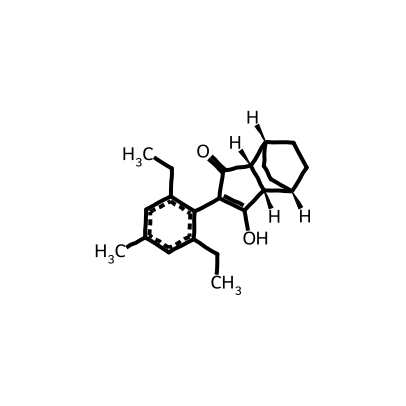 CCc1cc(C)cc(CC)c1C1=C(O)[C@H]2[C@H]3CC[C@H](CC3)[C@H]2C1=O